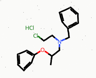 CC(CN(CCCl)Cc1ccccc1)Oc1ccccc1.Cl